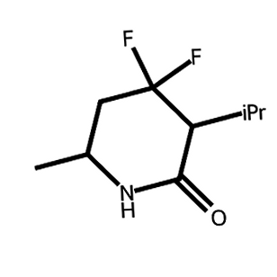 CC1CC(F)(F)C(C(C)C)C(=O)N1